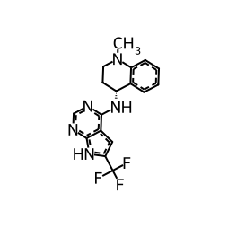 CN1CC[C@@H](Nc2ncnc3[nH]c(C(F)(F)F)cc23)c2ccccc21